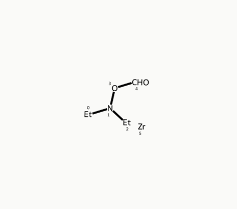 CCN(CC)OC=O.[Zr]